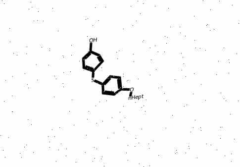 CCCCCCCOc1ccc(Sc2ccc(O)cc2)cc1